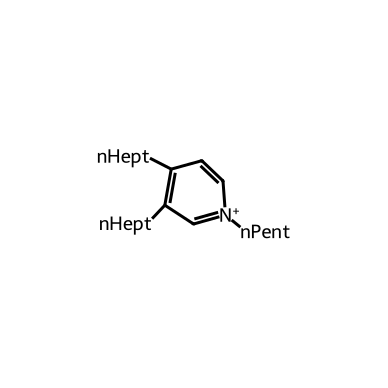 CCCCCCCc1cc[n+](CCCCC)cc1CCCCCCC